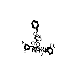 CCc1cccc(CNC[C@@H](OC(=O)c2cc(OCc3ccccc3)no2)[C@@H](N)Cc2cc(F)cc(F)c2)c1